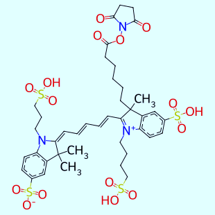 CC1(CCCCCC(=O)ON2C(=O)CCC2=O)C(/C=C/C=C/C=C2/N(CCCS(=O)(=O)O)c3ccc(S(=O)(=O)[O-])cc3C2(C)C)=[N+](CCCCS(=O)(=O)O)c2ccc(S(=O)(=O)O)cc21